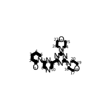 O=c1ccccn1-c1cncc(-c2nc(N3CCOCC3)nc(N3CCOCC3)n2)n1